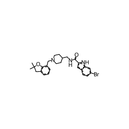 CC1(C)Cc2cccc(CN3CCC(CNC(=O)c4cc5ccc(Br)cc5[nH]4)CC3)c2O1